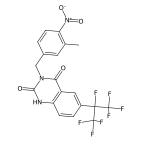 Cc1cc(Cn2c(=O)[nH]c3ccc(C(F)(C(F)(F)F)C(F)(F)F)cc3c2=O)ccc1[N+](=O)[O-]